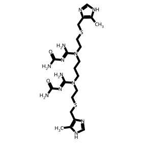 Cc1[nH]cnc1CSCCN(CCCN(CCSCc1nc[nH]c1C)C(N)=NC(N)=O)C(N)=NC(N)=O